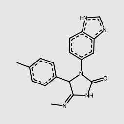 C/N=C1/NC(=O)N(c2ccc3[nH]cnc3c2)C1c1ccc(C)cc1